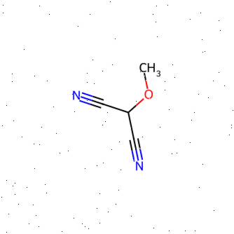 COC(C#N)C#N